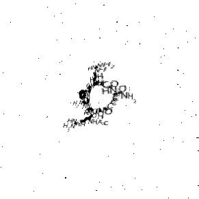 CC(=O)N[C@@H](CCCNC(=N)N)C(=O)N[C@H]1CCNC(=O)CCC[C@@H](C(N)=O)NC(=O)CNC(=O)[C@H](CCCNC(=N)N)NC(=O)[C@@H](Cc2ccccc2)NC(=O)[C@H](CCN)NC1=O